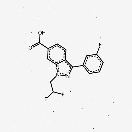 O=C(O)c1ccc2c(-c3cccc(F)c3)nn(CC(F)F)c2c1